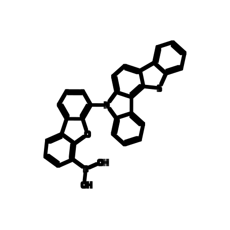 OB(O)c1cccc2c1oc1c(-n3c4ccccc4c4c5sc6ccccc6c5ccc43)cccc12